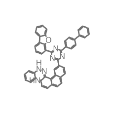 N=C1C=Cc2ccc3ccc(-c4nc(-c5ccc(-c6ccccc6)cc5)nc(-c5cccc6c5oc5ccccc56)n4)cc3c2/C1=N/Nc1ccccc1